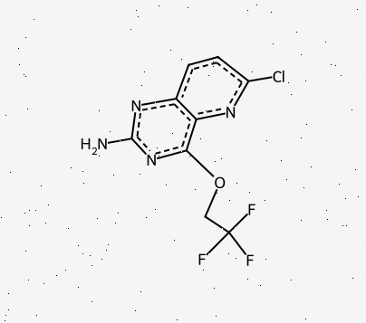 Nc1nc(OCC(F)(F)F)c2nc(Cl)ccc2n1